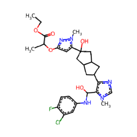 CCOC(=O)C(C)Oc1cc(C2(O)CC3CC(c4ncn(C)c4C(O)Nc4ccc(F)c(Cl)c4)CC3C2)n(C)n1